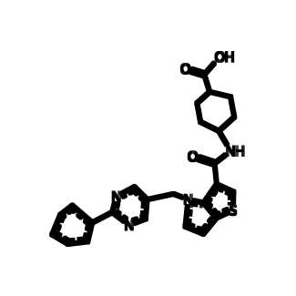 O=C(NC1CCC(C(=O)O)CC1)c1csc2ccn(Cc3cnc(-c4ccccc4)nc3)c12